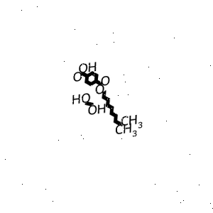 CC(C)CCCCCCCCOC(=O)C1CCC(C(=O)O)CC1.OCCO